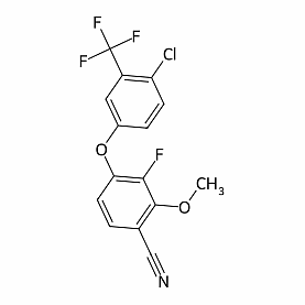 COc1c(C#N)ccc(Oc2ccc(Cl)c(C(F)(F)F)c2)c1F